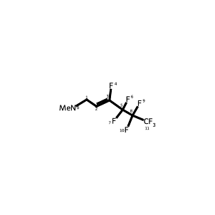 CNCC=C(F)C(F)(F)C(F)(F)C(F)(F)F